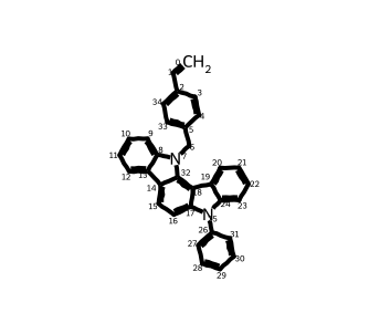 C=Cc1ccc(Cn2c3ccccc3c3ccc4c(c5ccccc5n4-c4ccccc4)c32)cc1